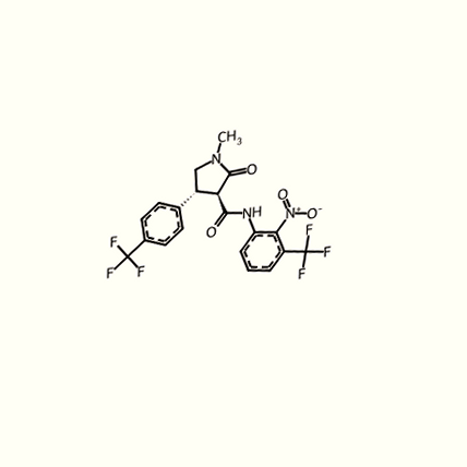 CN1C[C@@H](c2ccc(C(F)(F)F)cc2)[C@H](C(=O)Nc2cccc(C(F)(F)F)c2[N+](=O)[O-])C1=O